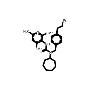 CSc1cc(C)nc(SC)c1NC(=O)N(Cc1ccc(CCC(C)C)cc1)C1CCCCCC1